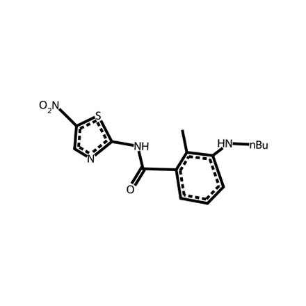 CCCCNc1cccc(C(=O)Nc2ncc([N+](=O)[O-])s2)c1C